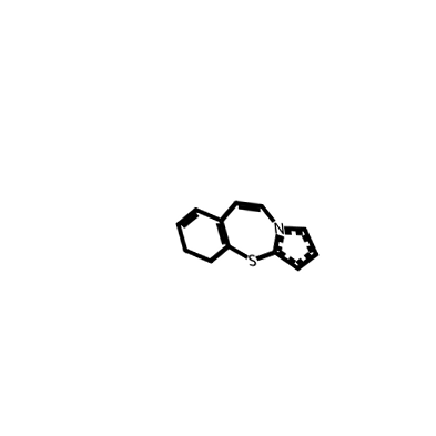 C1=CC2=C(CC1)Sc1cccn1C=C2